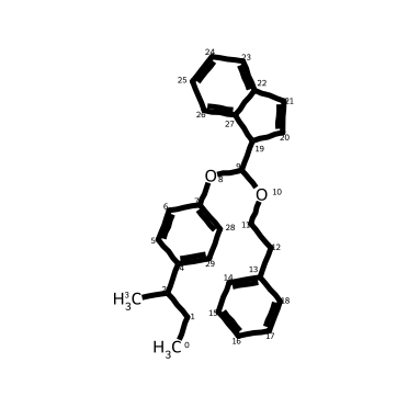 CCC(C)c1ccc(OC(OCCc2ccccc2)C2C=Cc3ccccc32)cc1